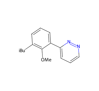 CCC(C)c1cccc(-c2cccnn2)c1OC